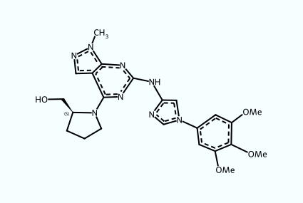 COc1cc(-n2cnc(Nc3nc(N4CCC[C@H]4CO)c4cnn(C)c4n3)c2)cc(OC)c1OC